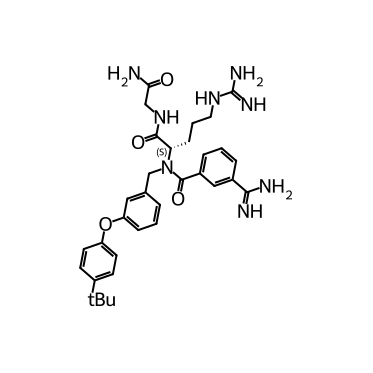 CC(C)(C)c1ccc(Oc2cccc(CN(C(=O)c3cccc(C(=N)N)c3)[C@@H](CCCNC(=N)N)C(=O)NCC(N)=O)c2)cc1